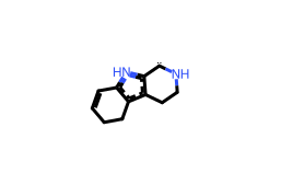 [C]1NCCc2c1[nH]c1c2CCC=C1